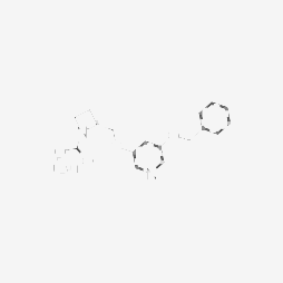 CC(C)(C)OC(=O)N1CC[C@H]1COc1cncc(OCc2ccccc2)c1